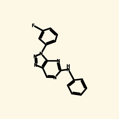 Fc1cccc(-n2nnc3cnc(Nc4ccccc4)nc32)c1